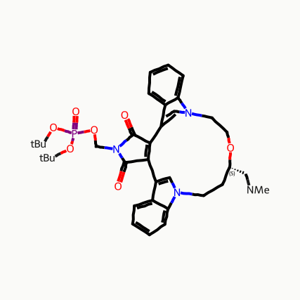 CNC[C@@H]1CCn2cc(c3ccccc32)C2=C(C(=O)N(COP(=O)(OC(C)(C)C)OC(C)(C)C)C2=O)c2cn(c3ccccc23)CCO1